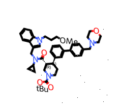 COCCCn1cc(CN(C(=O)[C@H]2CN(C(=O)OC(C)(C)C)CC[C@@H]2c2cccc(-c3ccc(CN4CCOCC4)cc3)c2)C2CC2)c2ccccc21